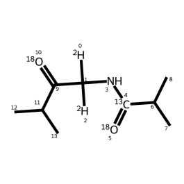 [2H]C([2H])(N[13C](=[18O])C(C)C)C(=[18O])C(C)C